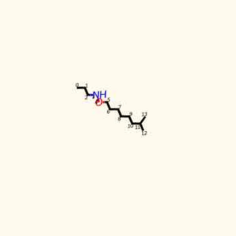 CCCNOCCCCCCC(C)C